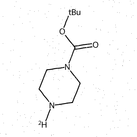 [2H]N1CCN(C(=O)OC(C)(C)C)CC1